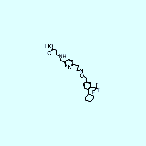 O=C(O)CCNCc1ccc(CC=NOCc2ccc(C3CCCCC3)c(C(F)(F)F)c2)nc1